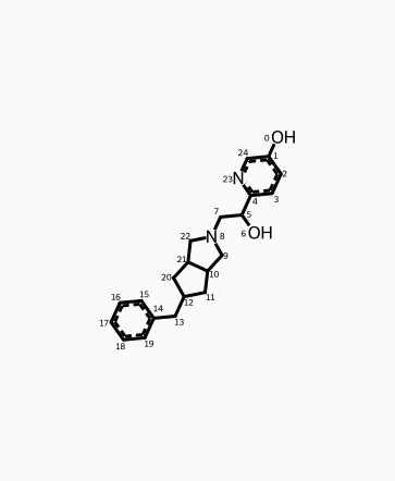 Oc1ccc(C(O)CN2CC3CC(Cc4ccccc4)CC3C2)nc1